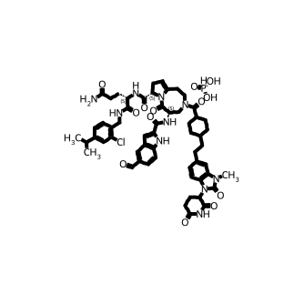 CC(C)c1ccc(CNC(=O)[C@H](CCC(N)=O)NC(=O)[C@@H]2CC=C3CCN(C(=O)C4CCC(CCc5ccc6c(c5)n(C)c(=O)n6C5CCC(=O)NC5=O)CC4)C[C@H](NC(=O)c4cc5cc(C=O)ccc5[nH]4)C(=O)N32)c(Cl)c1.O=[PH](O)O